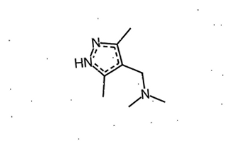 Cc1n[nH]c(C)c1CN(C)C